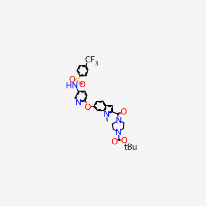 Cn1c(C(=O)N2CCN(C(=O)OC(C)(C)C)CC2)cc2ccc(Oc3ccc(NS(=O)(=O)c4ccc(C(F)(F)F)cc4)cn3)cc21